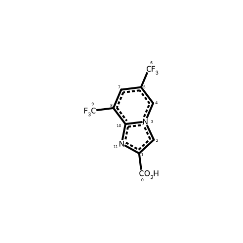 O=C(O)c1cn2cc(C(F)(F)F)cc(C(F)(F)F)c2n1